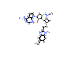 CC(C)N(C[C@@H]1C[C@@H](O)[C@H](n2ccc3c(N)ncnc32)C1)[C@H]1C[C@@H](CCc2nc3cc(C(C)(C)C)ccc3n2C)C1